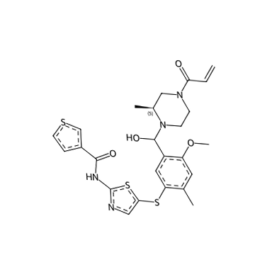 C=CC(=O)N1CCN(C(O)c2cc(Sc3cnc(NC(=O)c4ccsc4)s3)c(C)cc2OC)[C@@H](C)C1